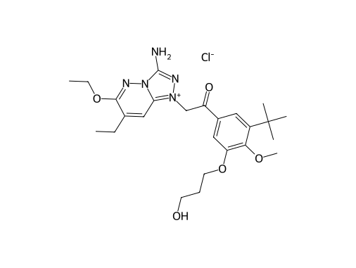 CCOc1nn2c(N)n[n+](CC(=O)c3cc(OCCCO)c(OC)c(C(C)(C)C)c3)c2cc1CC.[Cl-]